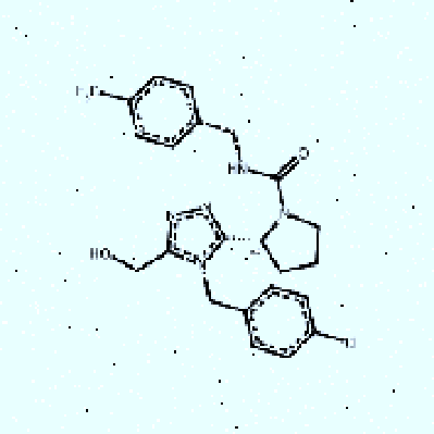 O=C(NCc1ccc(C(F)(F)F)cc1)N1CCC[C@@H]1c1nnc(CO)n1Cc1ccc(Cl)cc1